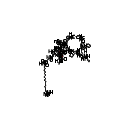 CCCC[C@H](NC(=O)[C@H](CN)NC(=O)[C@H](Cc1c[nH]cn1)NC(=O)[C@H](CCC(N)=O)NC(=O)[C@H](CO)NC(=O)CNC(=O)CCCS(=O)(=O)NC(=O)CCCCCCCCCCCCCCCc1nnn[nH]1)C(=O)N[C@H]1CCC(=O)NCCCC[C@@H](C(C)=O)NC(=O)[C@H](Cc2c[nH]c3ccccc23)NC(=O)[C@H](CCCNC(=N)N)NC(=O)[C@@H](Cc2ccccc2)NC(=O)[C@@H]2C[C@@H](O)CN2C1=O